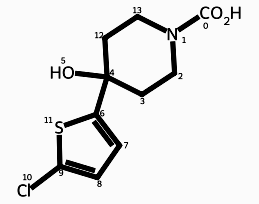 O=C(O)N1CCC(O)(c2ccc(Cl)s2)CC1